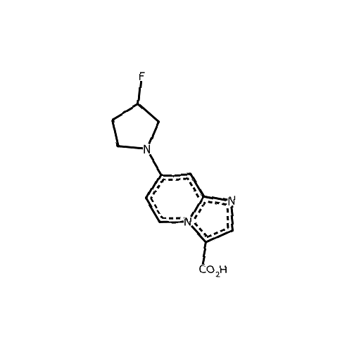 O=C(O)c1cnc2cc(N3CCC(F)C3)ccn12